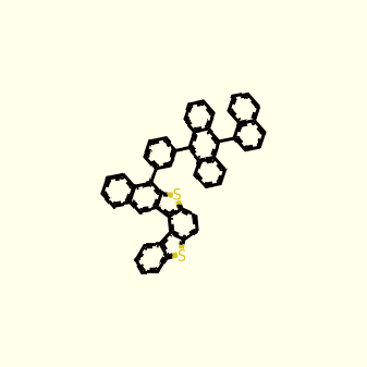 c1cc(-c2c3ccccc3c(-c3cccc4ccccc34)c3ccccc23)cc(-c2c3ccccc3cc3c2sc2ccc4sc5ccccc5c4c23)c1